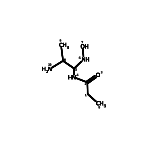 CCC(=O)NC(NO)C(C)N